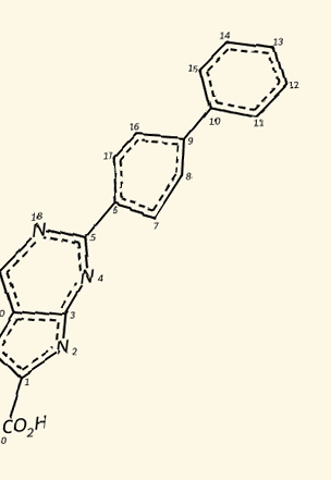 O=C(O)c1nc2nc(-c3ccc(-c4ccccc4)cc3)ncc2[nH]1